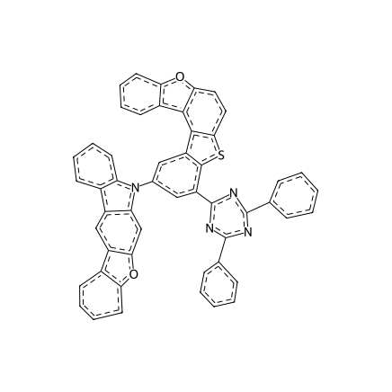 c1ccc(-c2nc(-c3ccccc3)nc(-c3cc(-n4c5ccccc5c5cc6c(cc54)oc4ccccc46)cc4c3sc3ccc5oc6ccccc6c5c34)n2)cc1